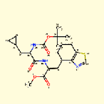 COC(=O)C(CC1CCCc2scnc21)NC(=O)C(CC1CC1)NC(=O)OC(C)(C)C